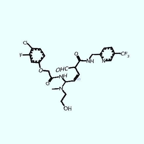 CN(CCO)C(/C=C\C(C=O)C(=O)NCc1ccc(C(F)(F)F)cn1)NC(=O)COc1ccc(Cl)c(F)c1